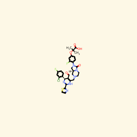 CC(C)(Oc1ccc(N2C[C@@H]3CN(CC4=C(C=O)[C@H](c5ccc(F)cc5Cl)N=C(c5nccs5)N4)CCN3C2=O)c(F)c1)C(=O)O